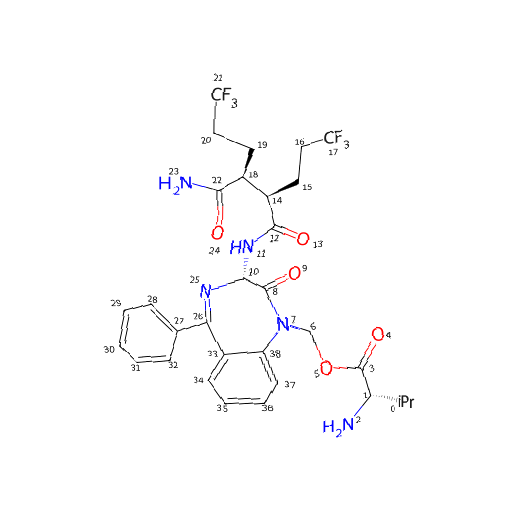 CC(C)[C@H](N)C(=O)OCN1C(=O)[C@@H](NC(=O)[C@H](CCC(F)(F)F)[C@H](CCC(F)(F)F)C(N)=O)N=C(c2ccccc2)c2ccccc21